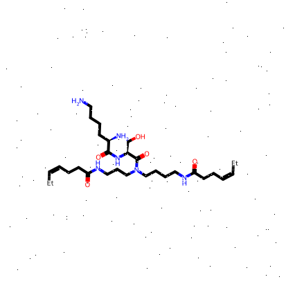 CC/C=C\CCC(=O)NCCCCN(CCCNC(=O)CC/C=C\CC)C(=O)[C@H](CO)NC(=O)[C@H](N)CCCCN